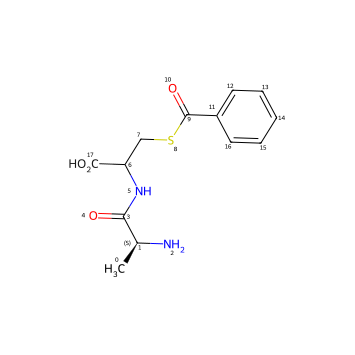 C[C@H](N)C(=O)NC(CSC(=O)c1ccccc1)C(=O)O